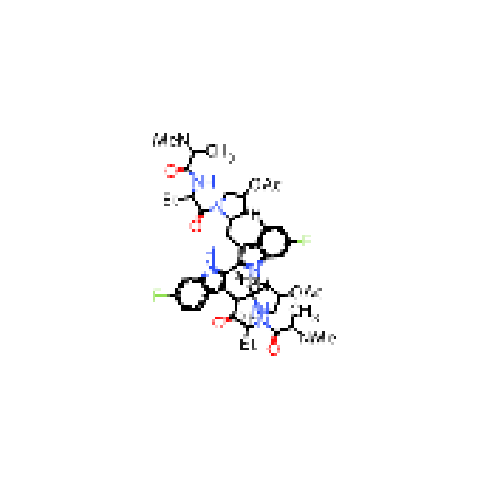 [2H]c1cc(F)cc2c1c(CC1CC(OC(C)=O)CN1C(=O)C(CC)NC(=O)C(C)NC)c(-c1[nH]c3cc(F)ccc3c1C(C(=O)C(CC)NC(=O)C(C)NC)C1([2H])CC(OC(C)=O)CN1[2H])n2[2H]